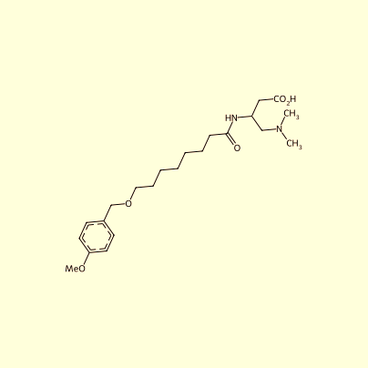 COc1ccc(COCCCCCCCC(=O)NC(CC(=O)O)CN(C)C)cc1